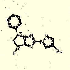 CC(=O)c1cnn(-c2nc3n(n2)[C@H](c2ccccc2)C[C@@H]3F)c1